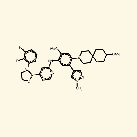 COc1cc(N2CCC3(CCC(OC)CC3)CC2)c(-c2cnn(C)c2)cc1Nc1cc(N2OCC[C@@H]2c2cccc(F)c2F)ncn1